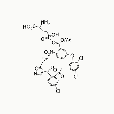 COC(=O)c1cc(Oc2ccc(Cl)cc2Cl)ccc1[N+](=O)[O-].CP(=O)(O)CCC(N)C(=O)O.CS(=O)(=O)c1cc(Cl)ccc1C(=O)c1cnoc1C1CC1